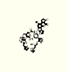 CC(C)(C)NC[C@H](O)COc1nsnc1N1CCOCC1.CO[C@@]1(NC(=O)Cc2cccs2)C(=O)N2C(C(=O)O)=C(COC(N)=O)CS[C@@H]21.COc1cc2c(c3oc(=O)c4c(c13)CCC4=O)C1C=COC1O2